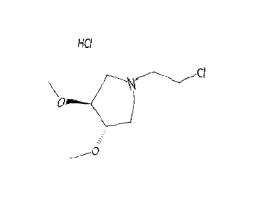 CO[C@H]1CN(CCCl)C[C@@H]1OC.Cl